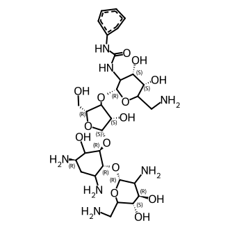 NCC1O[C@H](O[C@@H]2C(N)C[C@@H](N)C(O)[C@H]2O[C@@H]2O[C@H](CO)C(O[C@H]3OC(CN)[C@@H](O)[C@@H](O)C3NC(=O)Nc3ccccc3)[C@@H]2O)C(N)[C@@H](O)[C@@H]1O